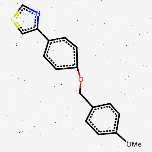 COc1ccc(COc2ccc(-c3cscn3)cc2)cc1